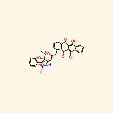 C[C@H]1O[C@@H](CC2C=CCC3C(=O)c4c(c(O)c5ccccc5c4O)C(=O)C23)C[C@H](NC(=O)C(F)(F)F)[C@]1(O)C(=O)c1ccccc1